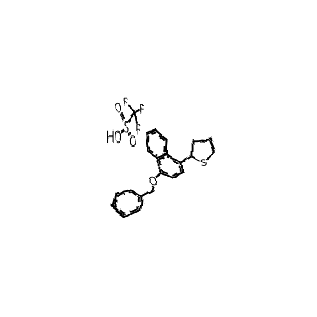 O=S(=O)(O)C(F)(F)F.c1ccc(COc2ccc(C3CCCS3)c3ccccc23)cc1